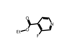 CCOC(=O)c1ccncc1F